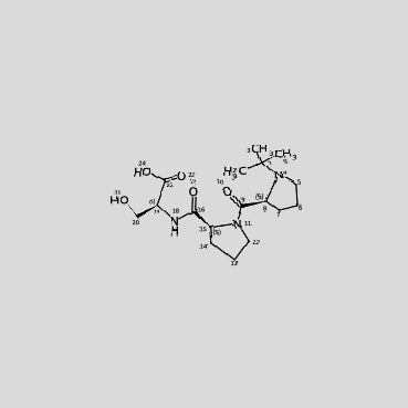 CC(C)(C)N1CCC[C@H]1C(=O)N1CCC[C@H]1C(=O)N[C@@H](CO)C(=O)O